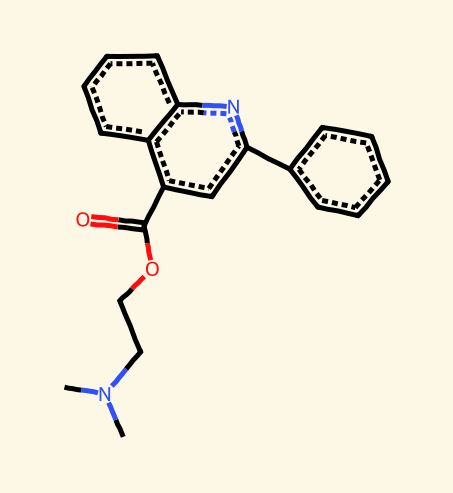 CN(C)CCOC(=O)c1cc(-c2ccccc2)nc2ccccc12